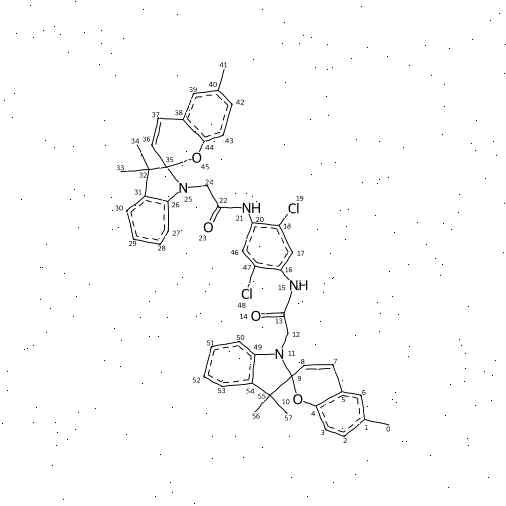 Cc1ccc2c(c1)C=CC1(O2)N(CC(=O)Nc2cc(Cl)c(NC(=O)CN3c4ccccc4C(C)(C)C34C=Cc3cc(C)ccc3O4)cc2Cl)c2ccccc2C1(C)C